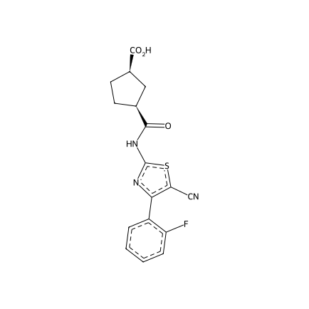 N#Cc1sc(NC(=O)[C@H]2CC[C@@H](C(=O)O)C2)nc1-c1ccccc1F